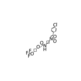 O=C(CO[C@H]1C[C@@H](OC(F)(F)F)C1)NC12CC(n3cc(-c4ccc(Cl)cc4)oc3=O)(C1)C2